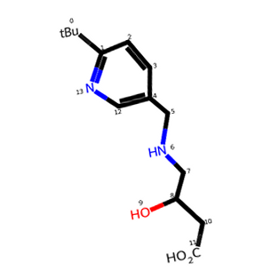 CC(C)(C)c1ccc(CNCC(O)CC(=O)O)cn1